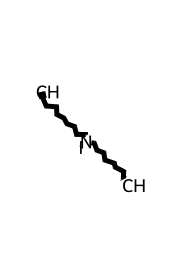 C#CCCCCCCCCN(I)CCCCCCCC#C